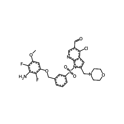 COc1cc(OCc2cccc(S(=O)(=O)n3c(CN4CCOCC4)cc4c(Cl)c(C=O)cnc43)c2)c(F)c(N)c1F